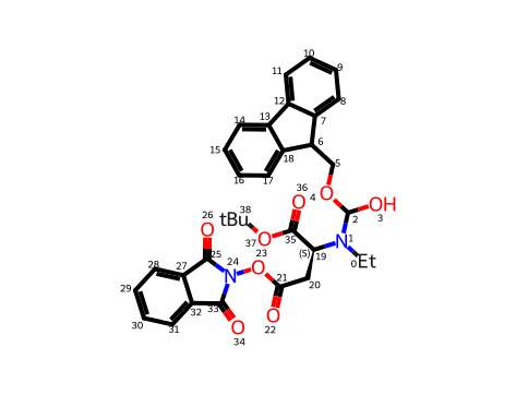 CCN(C(O)OCC1c2ccccc2-c2ccccc21)[C@@H](CC(=O)ON1C(=O)c2ccccc2C1=O)C(=O)OC(C)(C)C